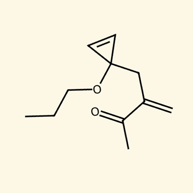 C=C(CC1(OCCC)C=C1)C(C)=O